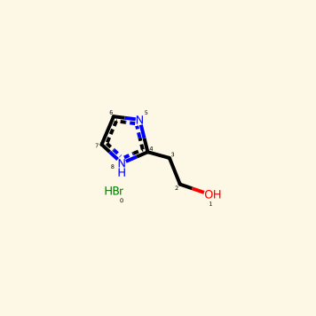 Br.OCCc1ncc[nH]1